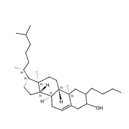 CCCCC1C[C@@]2(C)C(=CC[C@H]3[C@@H]4CC[C@H]([C@H](C)CCCC(C)C)[C@@]4(C)CC[C@@H]32)CC1O